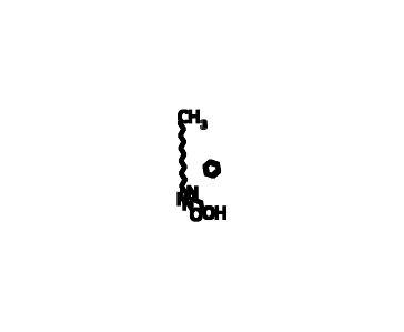 CCCCCCCCCCCCn1nnc(CC(=O)O)n1.c1ccccc1